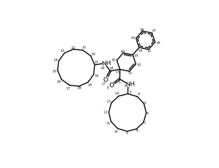 O=C(NC1CCCCCCCCCCC1)C1(C(=O)NC2CCCCCCCCCCC2)C=CC(c2ccccc2)=CC1